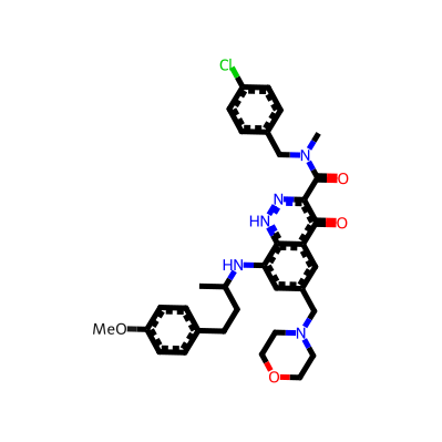 COc1ccc(CCC(C)Nc2cc(CN3CCOCC3)cc3c(=O)c(C(=O)N(C)Cc4ccc(Cl)cc4)n[nH]c23)cc1